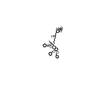 CCCN(C(=O)OCc1ccccc1)[C@@H](CCCCCNCCc1ccc(NS(C)(=O)=O)cc1)C1CCc2c(ccc(OCc3ccccc3)c2OCc2ccccc2)C1